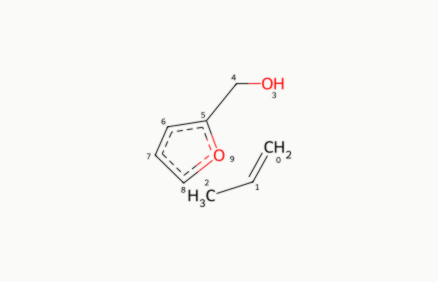 C=CC.OCc1ccco1